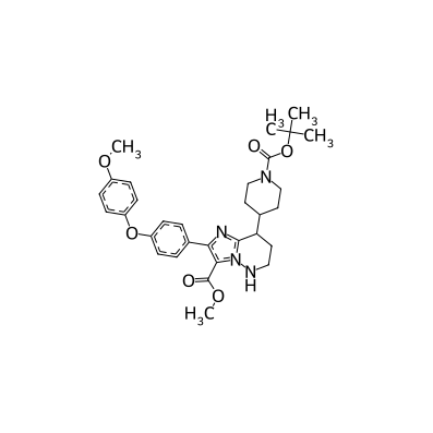 COC(=O)c1c(-c2ccc(Oc3ccc(OC)cc3)cc2)nc2n1NCCC2C1CCN(C(=O)OC(C)(C)C)CC1